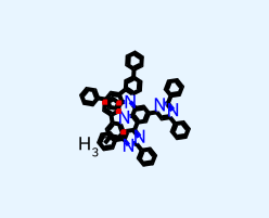 Cc1ccc2c(c1)c1ccccc1n2-c1c(-c2cc(-c3ccccc3)nc(-c3ccccc3)n2)cc(-c2cc(-c3ccccc3)nc(-c3ccccc3)n2)cc1-n1c2ccc(-c3ccccc3)cc2c2cc(-c3ccccc3)ccc21